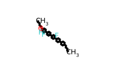 CCCCCOc1ccc(-c2ccc(-c3ccc(C4CCC(C5CCC(CCCCC)CC5)CC4)c(F)c3)cc2)c(F)c1F